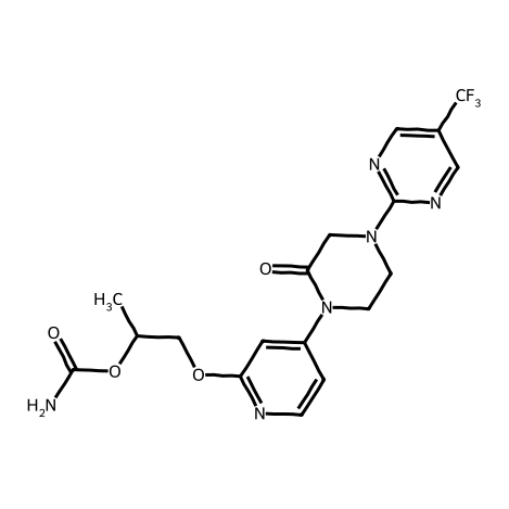 CC(COc1cc(N2CCN(c3ncc(C(F)(F)F)cn3)CC2=O)ccn1)OC(N)=O